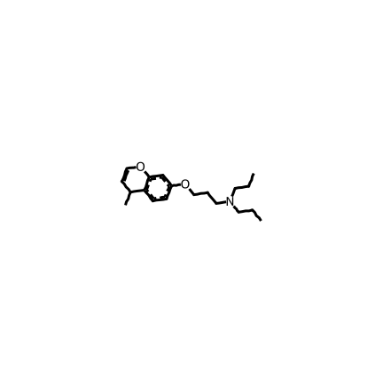 CCCN(CCC)CCCOc1ccc2c(c1)OC=CC2C